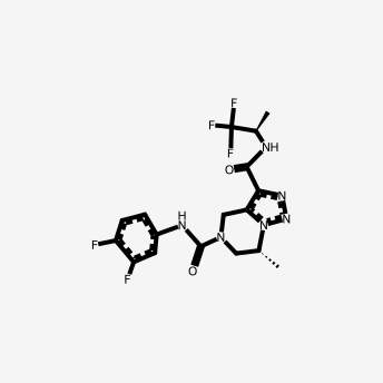 C[C@@H]1CN(C(=O)Nc2ccc(F)c(F)c2)Cc2c(C(=O)N[C@H](C)C(F)(F)F)nnn21